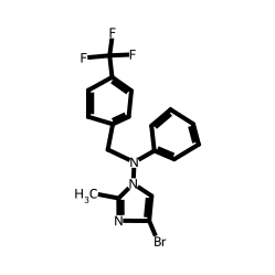 Cc1nc(Br)cn1N(Cc1ccc(C(F)(F)F)cc1)c1ccccc1